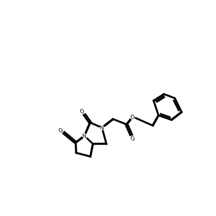 O=C(CN1CC2CCC(=O)N2C1=O)OCc1ccccc1